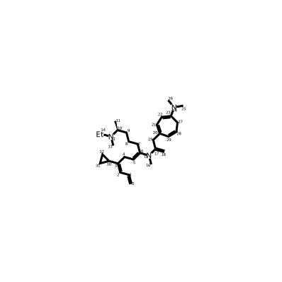 C=C/C=C(\C/C=C(\CCC[C@H](C)N(C)CC)N(C)C(=C)CC1=CC=C(N(C)C)CC=C1)C1CC1